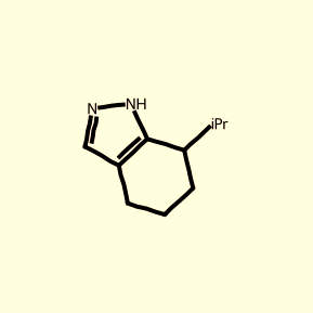 CC(C)C1CCCc2cn[nH]c21